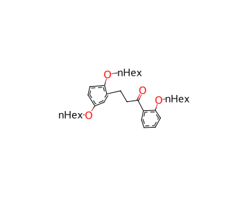 CCCCCCOc1ccc(OCCCCCC)c(CCC(=O)c2ccccc2OCCCCCC)c1